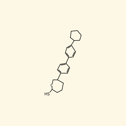 SC1CCCC(c2ccc(-c3ccc(C4CCCCC4)cc3)cc2)CC1